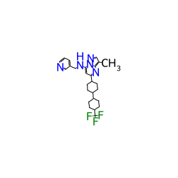 Cc1cnn2c(NCc3cccnc3)cc(C3CCC(C4CCC(C(F)(F)F)CC4)CC3)nc12